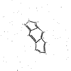 c1ccc2cc3nonc3cc2c1